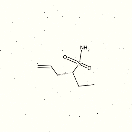 C=CC[C@@H](CC)S(N)(=O)=O